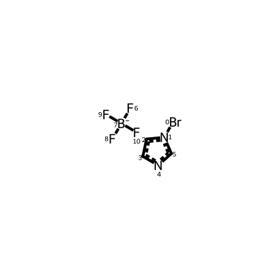 Brn1ccnc1.F[B-](F)(F)F